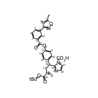 Cc1nc(-c2cccc(C(=O)Oc3ccc(C(CN(C)C(=O)OC(C)(C)C)c4nccn4C(=O)O)cc3)c2)no1